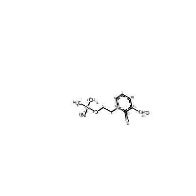 CC(C)(C)[Si](C)(C)OCCn1cccc(C=O)c1=O